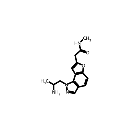 CNC(=O)Cc1cc2c(ccc3cnn(CC(C)N)c32)o1